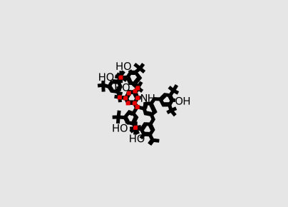 C=C(C)c1cc(Cc2cc(Cc3cc(C(C)(C)C)c(O)c(C(C)(C)C)c3)c(Nc3c(Cc4cc(C(C)(C)C)c(O)c(C(C)(C)C)c4)cc(Cc4cc(C(C)(C)C)c(O)c(C(C)(C)C)c4)cc3Cc3cc(C(C)(C)C)c(O)c(C(C)(C)C)c3)c(Cc3cc(C(C)(C)C)c(O)c(C(C)(C)C)c3)c2)cc(C(C)(C)C)c1O